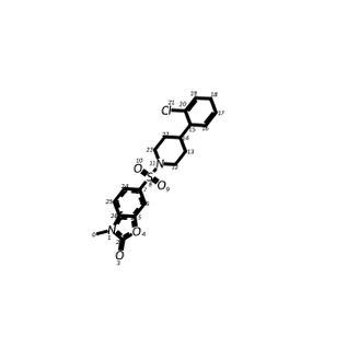 Cn1c(=O)oc2cc(S(=O)(=O)N3CCC(C4C=CCC=C4Cl)CC3)ccc21